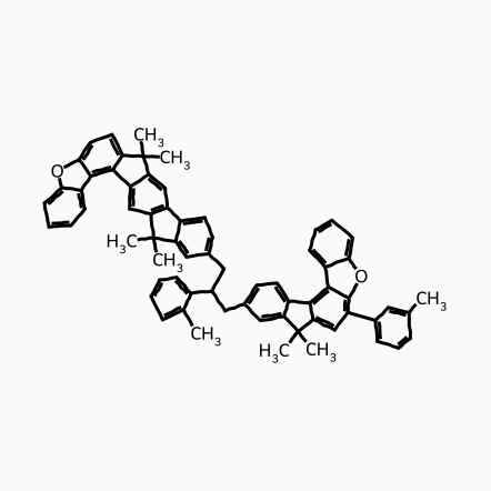 Cc1cccc(-c2cc3c(c4c2oc2ccccc24)-c2ccc(CC(Cc4ccc5c(c4)C(C)(C)c4cc6c(cc4-5)C(C)(C)c4ccc5oc7ccccc7c5c4-6)c4ccccc4C)cc2C3(C)C)c1